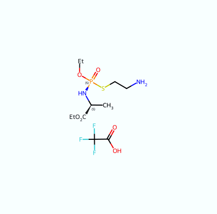 CCOC(=O)[C@H](C)N[P@](=O)(OCC)SCCN.O=C(O)C(F)(F)F